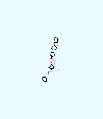 O=C(NS(=O)(=O)c1ccc(NCCSc2ccccc2)c([N+](=O)[O-])c1)c1ccc(N2CCC(O)(Cc3ccccc3)CC2)cc1